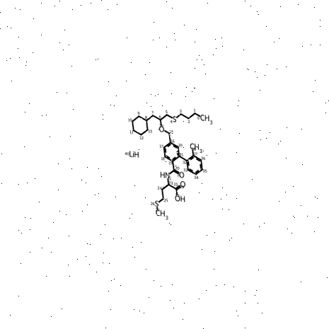 CCCCSCC(CC1CCCCC1)OCc1ccc(C(=O)NC(CCSC)C(=O)O)c(-c2ccccc2C)c1.[LiH]